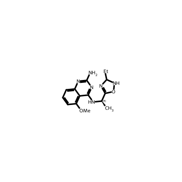 CCC1N=C([C@@H](C)Nc2nc(N)nc3cccc(OC)c23)ON1